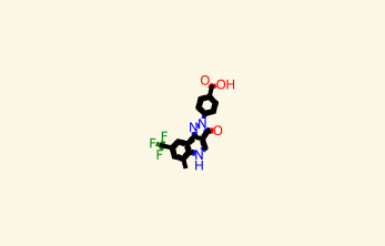 Cc1cc(C(F)(F)F)cc2c3nn(-c4ccc(C(=O)O)cc4)c(=O)c-3c[nH]c12